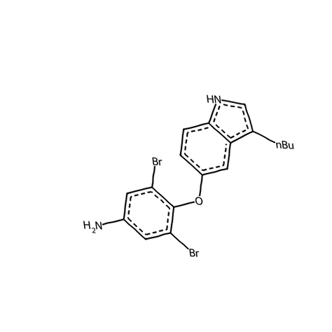 CCCCc1c[nH]c2ccc(Oc3c(Br)cc(N)cc3Br)cc12